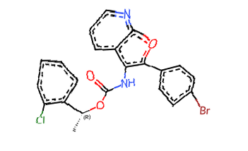 C[C@@H](OC(=O)Nc1c(-c2ccc(Br)cc2)oc2ncccc12)c1ccccc1Cl